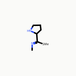 C/N=C(\SC)C1CCCN1